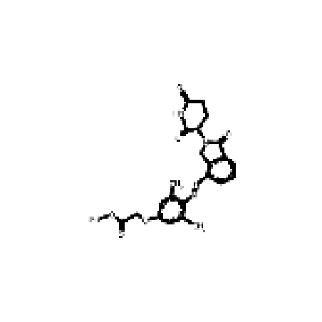 Cc1cc(OCC(=O)OC(C)(C)C)cc(C)c1/N=N/c1cccc2c1CN(C1CCC(=O)NC1=O)C2=O